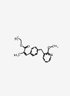 CCOC(=O)C(C)=Cc1ccc(Cc2cccnc2OC)cc1